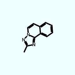 Cc1nc2c3ccccc3ccn2n1